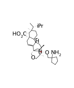 CC(C)[C@@H](C)[C@@]1(C)CC[C@]2(C)[C@H]3CC[C@@H]4[C@@]5(COC[C@]4(C)[C@@H](OCC4(N)CCCC4)[C@H](C)C5)C3=CC[C@@]2(C)[C@@H]1C(=O)O